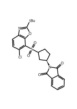 CC(C)(C)c1nc2ccc(Cl)c(S(=O)(=O)C3CC[C@@H](N4C(=O)c5ccccc5C4=O)C3)c2o1